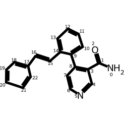 NC(=O)c1cnccc1-c1ccccc1C=Cc1ccccc1